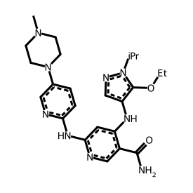 CCOc1c(Nc2cc(Nc3ccc(N4CCN(C)CC4)cn3)ncc2C(N)=O)cnn1C(C)C